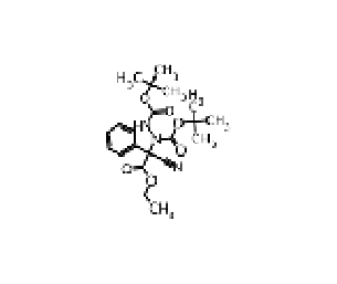 CCOC(=O)C(C#N)(c1ccccc1)N(NC(=O)OC(C)(C)C)C(=O)OC(C)(C)C